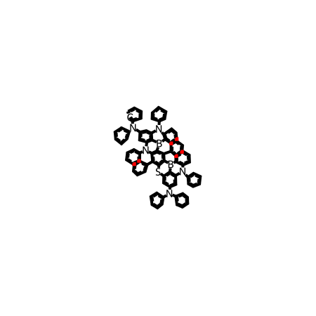 c1ccc(-c2c3c(c(-c4ccccc4)c4c2B2c5ccccc5N(c5ccccc5)c5cc(N(c6ccccc6)c6ccccc6)cc(c52)N4c2ccccc2)Sc2cc(N(c4ccccc4)c4ccccc4)cc4c2B3c2ccccc2N4c2ccccc2)cc1